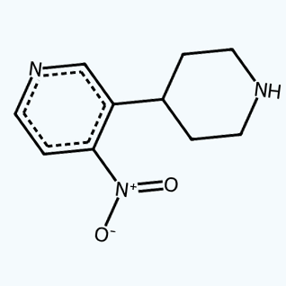 O=[N+]([O-])c1ccncc1C1CCNCC1